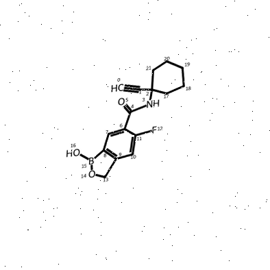 C#CC1(NC(=O)c2cc3c(cc2F)COB3O)CCCCC1